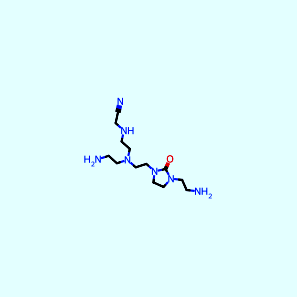 N#CCNCCN(CCN)CCN1CCN(CCN)C1=O